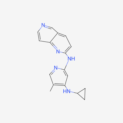 Cc1cnc(Nc2ccc3cnccc3n2)cc1NC1CC1